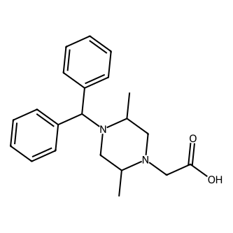 CC1CN(C(c2ccccc2)c2ccccc2)C(C)CN1CC(=O)O